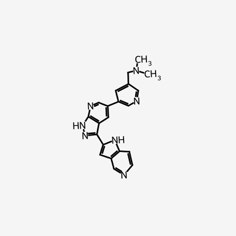 CN(C)Cc1cncc(-c2cnc3[nH]nc(-c4cc5cnccc5[nH]4)c3c2)c1